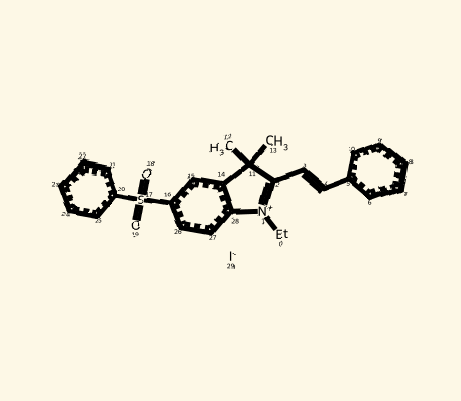 CC[N+]1=C(C=Cc2ccccc2)C(C)(C)c2cc(S(=O)(=O)c3ccccc3)ccc21.[I-]